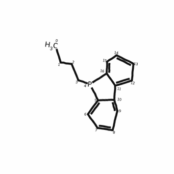 CCCCp1c2ccccc2c2ccccc21